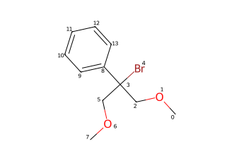 COCC(Br)(COC)c1ccccc1